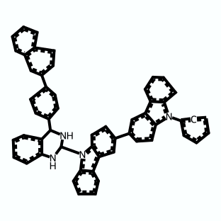 c1ccc(-n2c3ccccc3c3cc(-c4ccc5c(c4)c4ccccc4n5C4Nc5ccccc5C(c5ccc(-c6ccc7ccccc7c6)cc5)N4)ccc32)cc1